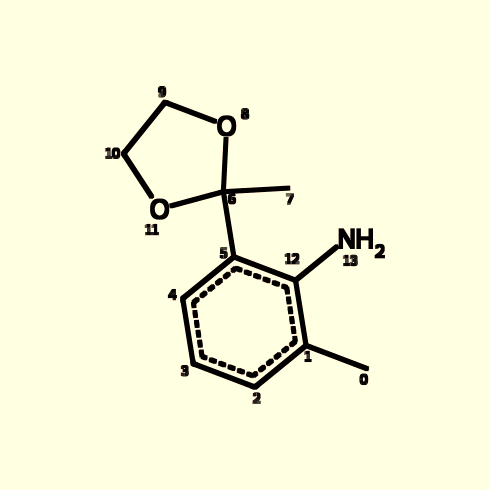 Cc1cccc(C2(C)OCCO2)c1N